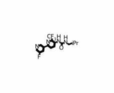 CC(C)CNC(=O)Nc1ccc(-c2cncc(F)c2)nc1C(F)(F)F